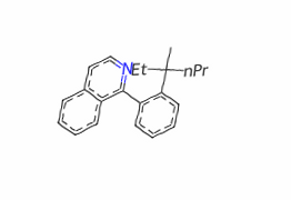 CCCC(C)(CC)c1ccccc1-c1nccc2ccccc12